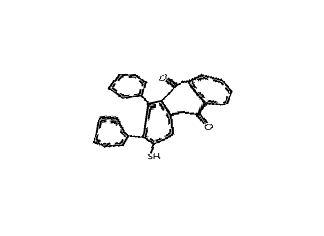 O=C1c2ccccc2C(=O)c2c1cc(S)c(-c1ccccc1)c2-c1ccccc1